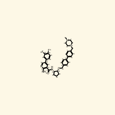 CN1CCN(Cc2ccc(-c3ccc(CO[C@H]4CCC[C@@H]4NC(=O)c4cc(-c5ccc(F)c(F)c5)cnc4N)cc3)cc2)CC1